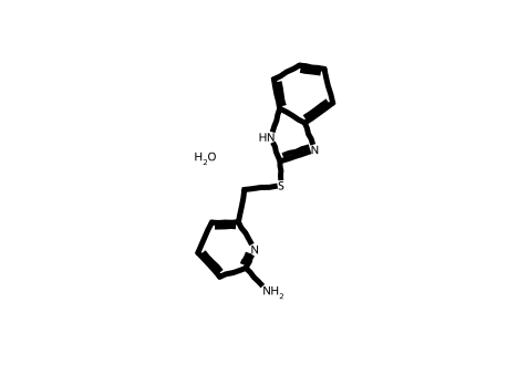 Nc1cccc(CSc2nc3ccccc3[nH]2)n1.O